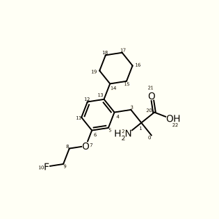 CC(N)(Cc1cc(OCCF)ccc1C1CCCCC1)C(=O)O